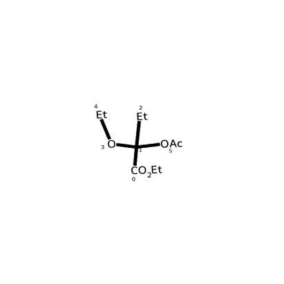 CCOC(=O)C(CC)(OCC)OC(C)=O